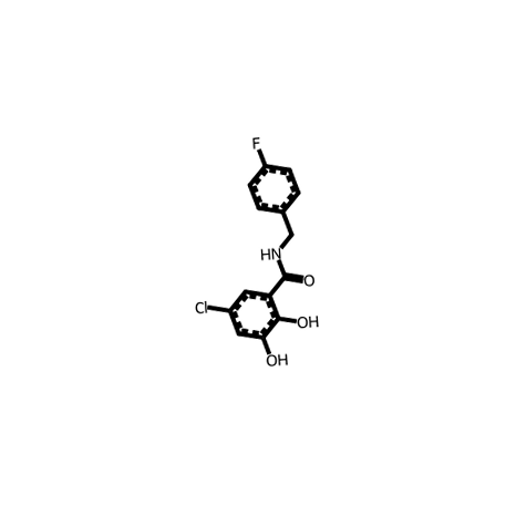 O=C(NCc1ccc(F)cc1)c1cc(Cl)cc(O)c1O